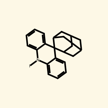 IN1c2ccccc2C2(c3ccccc31)C1CC3CC(C1)CC2C3